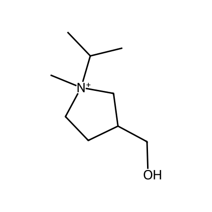 CC(C)[N+]1(C)CCC(CO)C1